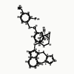 CCn1cncc1Cn1c(CN2CC[C@]3(c4cccc(OCc5ccc(C#N)cc5F)n4)C[C@@H]3C2)nc2ccccc21